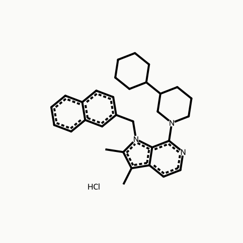 Cc1c(C)n(Cc2ccc3ccccc3c2)c2c(N3CCCC(C4CCCCC4)C3)nccc12.Cl